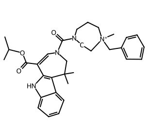 CC(C)OC(=O)C1=CN(C(=O)N2CCC[N+](C)(Cc3ccccc3)CC2)CC(C)(C)c2c1[nH]c1ccccc21